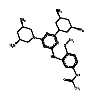 COc1ccc(NC(C)=O)cc1Nc1nc(N2C[C@H](N)C[C@H](N)C2)nc(N2C[C@H](N)C[C@H](N)C2)n1